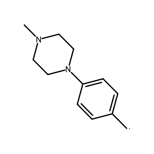 [CH2]c1ccc(N2CCN(C)CC2)cc1